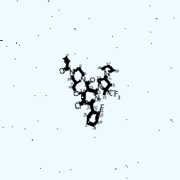 C=CC(=O)N1CCN2C(=O)c3c(N4CC(N5CCC5)C[C@@]4(C)C(F)(F)F)nc(-c4ccccc4F)c(Cl)c3OCC2C1